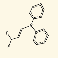 FC(F)/C=C/[S+](c1ccccc1)c1ccccc1